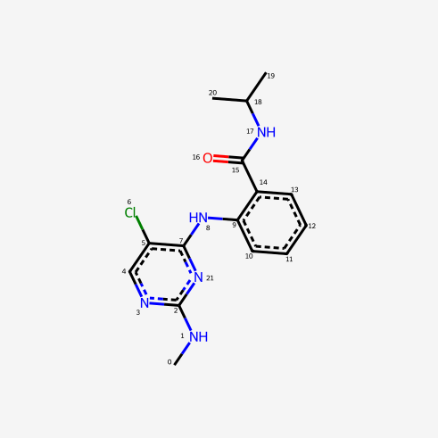 CNc1ncc(Cl)c(Nc2ccccc2C(=O)NC(C)C)n1